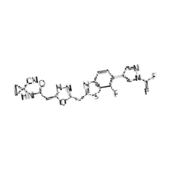 N#CC1(NC(=O)Cc2nnc(Cc3nc4ccc(-c5cnn(C(F)F)c5)c(F)c4s3)o2)CC1